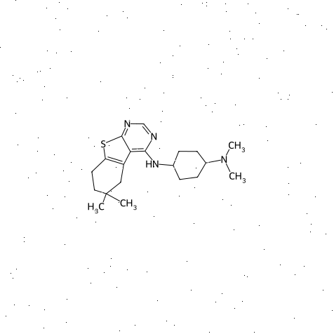 CN(C)C1CCC(Nc2ncnc3sc4c(c23)CC(C)(C)CC4)CC1